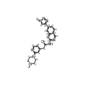 CN1CCN(c2cc(CC(=O)Nc3ncc4ccc(-c5cn(C)nn5)cc4n3)ccn2)CC1